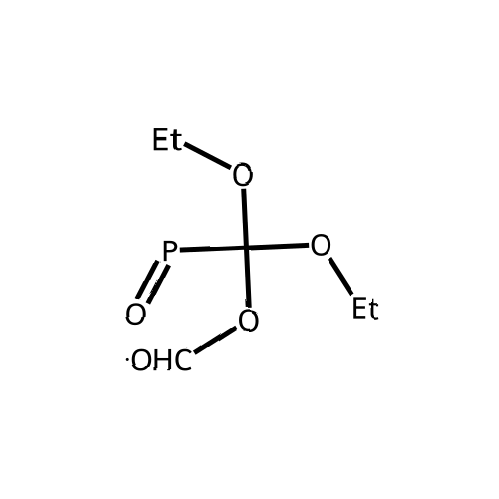 CCOC(O[C]=O)(OCC)P=O